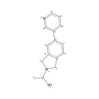 CC(S)N1Cc2ccc(-c3cccnc3)cc2C1